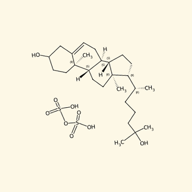 C[C@H](CCCC(C)(C)O)[C@H]1CC[C@H]2[C@@H]3CC=C4CC(O)CC[C@]4(C)[C@H]3CC[C@]12C.O=S(=O)(O)OS(=O)(=O)O